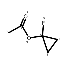 CC(=O)OC1(F)CC1